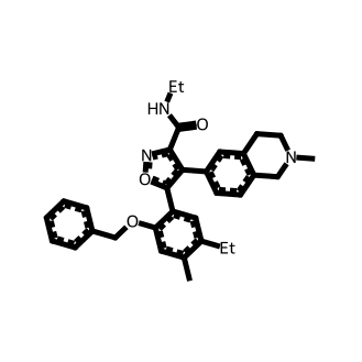 CCNC(=O)c1noc(-c2cc(CC)c(C)cc2OCc2ccccc2)c1-c1ccc2c(c1)CCN(C)C2